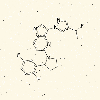 CC(F)c1cnn(-c2cnn3ccc(N4CCCC4c4cc(F)ccc4F)nc23)c1